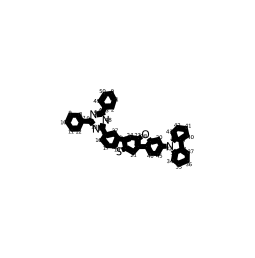 c1ccc(-c2nc(-c3ccccc3)nc(-c3ccc4sc5cc6c(cc5c4c3)oc3cc(-n4c5ccccc5c5ccccc54)ccc36)n2)cc1